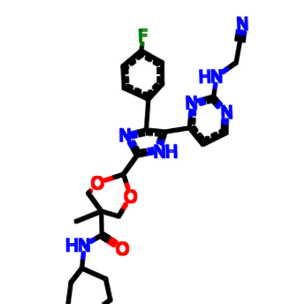 CC1(C(=O)NC2CCCCC2)COC(c2nc(-c3ccc(F)cc3)c(-c3ccnc(NCC#N)n3)[nH]2)OC1